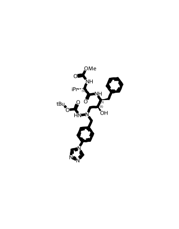 COC(=O)N[C@H](C(=O)N[C@@H](Cc1ccccc1)[C@@H](O)CN(Cc1ccc(-n2cnnc2)cc1)NC(=O)OC(C)(C)C)C(C)C